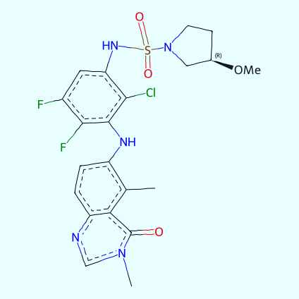 CO[C@@H]1CCN(S(=O)(=O)Nc2cc(F)c(F)c(Nc3ccc4ncn(C)c(=O)c4c3C)c2Cl)C1